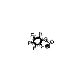 O=[SH](=O)Oc1c(F)c(F)c(F)c(F)c1F